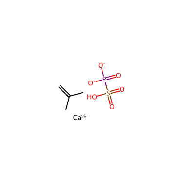 C=C(C)C.O=P([O-])([O-])S(=O)(=O)O.[Ca+2]